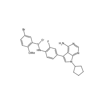 COc1ccc(Br)cc1[S+]([O-])Nc1ccc(-c2cn(C3CCCC3)c3ncnc(N)c23)cc1F